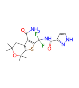 CC1(C)Cc2c(sc(C(F)(F)NC(=O)c3cc[nH]n3)c2C(N)=O)C(C)(C)O1